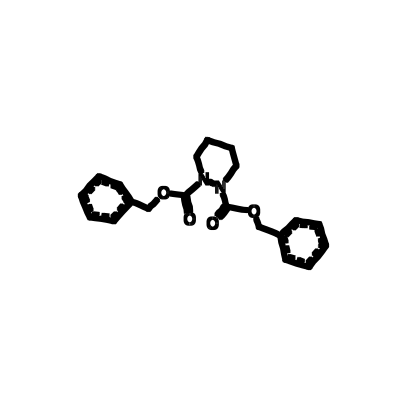 O=C(OCc1ccccc1)N1CCCCN1C(=O)OCc1ccccc1